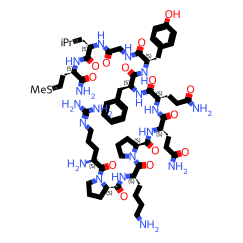 CSCC[C@H](NC(=O)[C@H](CC(C)C)NC(=O)CNC(=O)[C@H](Cc1ccc(O)cc1)NC(=O)[C@H](Cc1ccccc1)NC(=O)[C@H](CCC(N)=O)NC(=O)[C@H](CCC(N)=O)NC(=O)[C@@H]1CCCN1C(=O)[C@H](CCCCN)NC(=O)[C@@H]1CCCN1C(=O)[C@@H](N)CCCN=C(N)N)C(N)=O